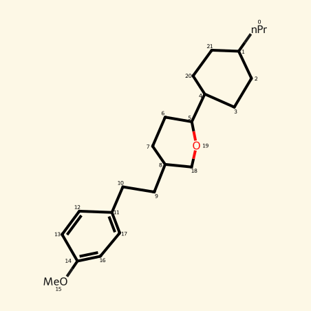 CCCC1CCC(C2CCC(CCc3ccc(OC)cc3)CO2)CC1